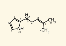 CC(C)=CC[SiH2]c1ccc[nH]1